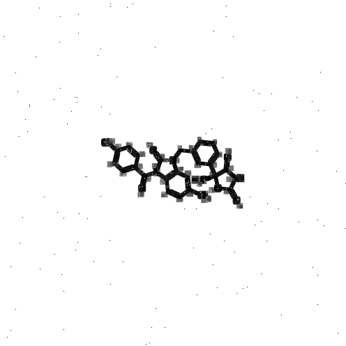 C[C@]1(c2cccc(Cn3c(=O)n(C(=O)c4ccc(Cl)cc4)c4ccc(C(F)(F)F)cc43)c2)OC(=O)NC1=O